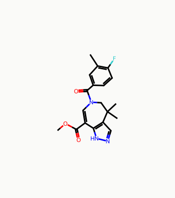 COC(=O)C1=CN(C(=O)c2ccc(F)c(C)c2)CC(C)(C)c2cn[nH]c21